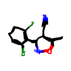 CC1=C(C#N)C(C2=C(F)CCC=C2Cl)NO1